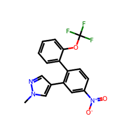 Cn1cc(-c2cc([N+](=O)[O-])ccc2-c2ccccc2OC(F)(F)F)cn1